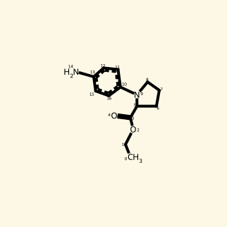 CCOC(=O)C1CCCN1c1ccc(N)cc1